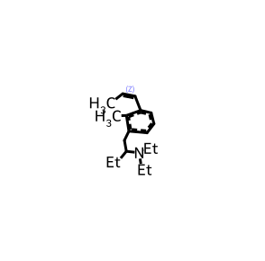 C/C=C\c1cccc(CC(CC)N(CC)CC)c1C